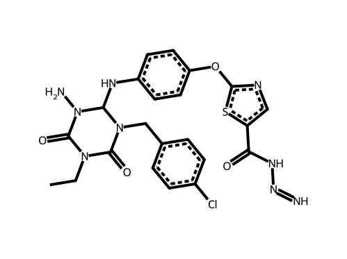 CCN1C(=O)N(N)C(Nc2ccc(Oc3ncc(C(=O)NN=N)s3)cc2)N(Cc2ccc(Cl)cc2)C1=O